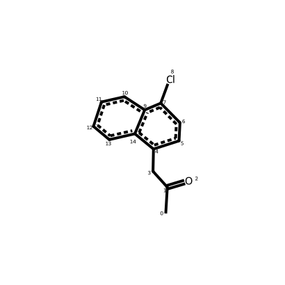 CC(=O)Cc1ccc(Cl)c2ccccc12